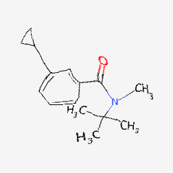 CN(C(=O)c1cccc(C2CC2)c1)C(C)(C)C